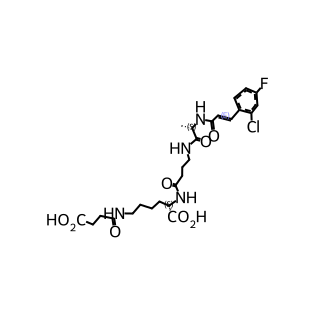 C[C@H](NC(=O)/C=C/c1ccc(F)cc1Cl)C(=O)NCCCC(=O)N[C@@H](CCCCNC(=O)CCC(=O)O)C(=O)O